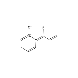 C=C/C(F)=C(\C=C/C)[N+](=O)[O-]